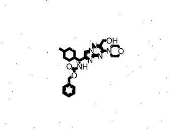 CC1CCC([C@H](NC(=O)OCc2ccccc2)c2cn3nc(CO)c(N4CCOCC4)nc3n2)CC1